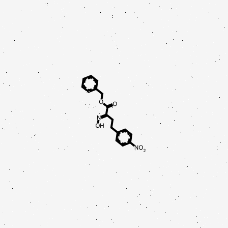 O=C(OCc1ccccc1)C(CCc1ccc([N+](=O)[O-])cc1)=NO